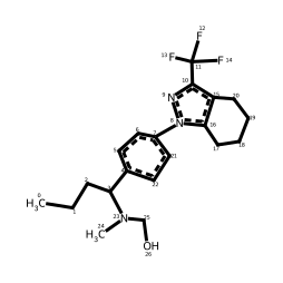 CCCC(c1ccc(-n2nc(C(F)(F)F)c3c2CCCC3)cc1)N(C)CO